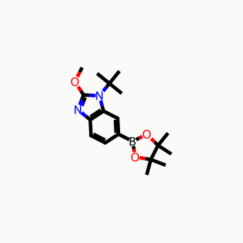 COc1nc2ccc(B3OC(C)(C)C(C)(C)O3)cc2n1C(C)(C)C